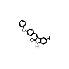 O=C1Nc2ccc(I)cc2C1=Cc1ccc(Oc2ccccc2)cc1